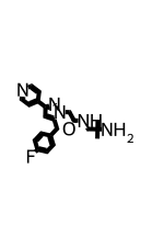 CC(C)(N)CNC(=O)Cn1nc(-c2ccncc2)cc1Cc1ccc(F)cc1